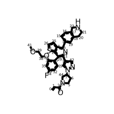 C=CC(=O)N1CC[C@H](n2cc(-c3nc(-c4ccc5c(c4)CCNC5)c4ccsc4c3-c3ccc(F)cc3OCCOC)cn2)C1